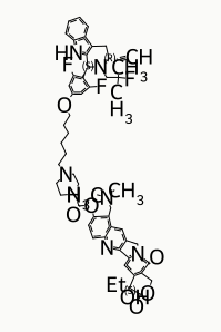 C#C[C@H]1Cc2c([nH]c3ccccc23)[C@H](c2c(F)cc(OCCCCCCN3CCN(C(=O)Oc4ccc5nc6c(cc5c4CN(C)C)Cn4c-6cc5c(c4=O)COC(=O)[C@]5(O)CC)CC3)cc2F)N1CC(C)(C)F